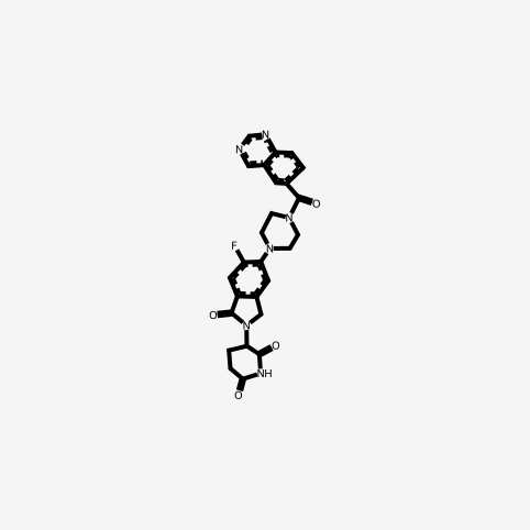 O=C1CCC(N2Cc3cc(N4CCN(C(=O)c5ccc6ncncc6c5)CC4)c(F)cc3C2=O)C(=O)N1